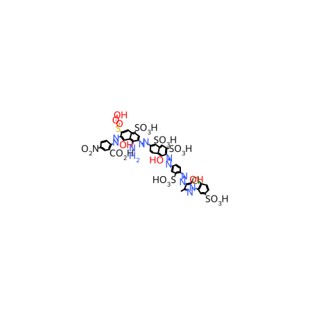 Cc1nn(-c2cc(S(=O)(=O)O)ccc2Cl)c(O)c1N=Nc1ccc(N=Nc2c(S(=O)(=O)O)cc3c(S(=O)(=O)O)c(N=Nc4cc(S(=O)(=O)O)c5cc(SOOO)c(N=Nc6ccc([N+](=O)[O-])cc6C(=O)O)c(O)c5c4N)ccc3c2O)cc1S(=O)(=O)O